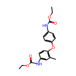 CCOC(=O)Nc1ccc(Oc2ccc(NC(=O)OCC)cc2C)cc1